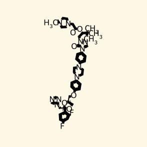 CN1CCN(CC(=O)OC(Cn2ncn(-c3ccc(N4CCN(c5ccc(OC[C@H]6CO[C@](Cn7cncn7)(c7ccc(F)cc7F)O6)cc5)CC4)cc3)c2=O)C(C)(C)C)CC1